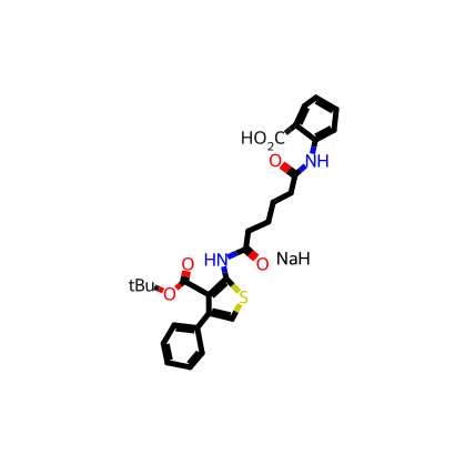 CC(C)(C)OC(=O)c1c(-c2ccccc2)csc1NC(=O)CCCCC(=O)Nc1ccccc1C(=O)O.[NaH]